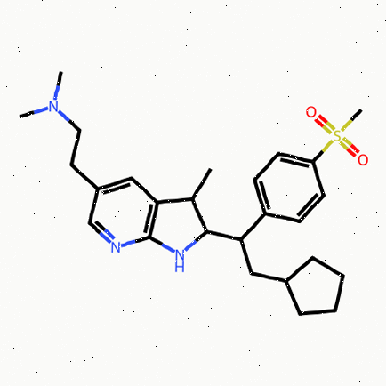 CC1c2cc(CCN(C)C)cnc2NC1C(CC1CCCC1)c1ccc(S(C)(=O)=O)cc1